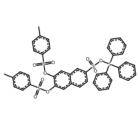 Cc1ccc(S(=O)(=O)Oc2cc3ccc(S(=O)(=O)OS(c4ccccc4)(c4ccccc4)c4ccccc4)cc3cc2OS(=O)(=O)c2ccc(C)cc2)cc1